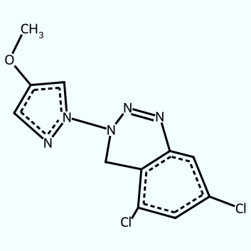 COc1cnn(N2Cc3c(Cl)cc(Cl)cc3N=N2)c1